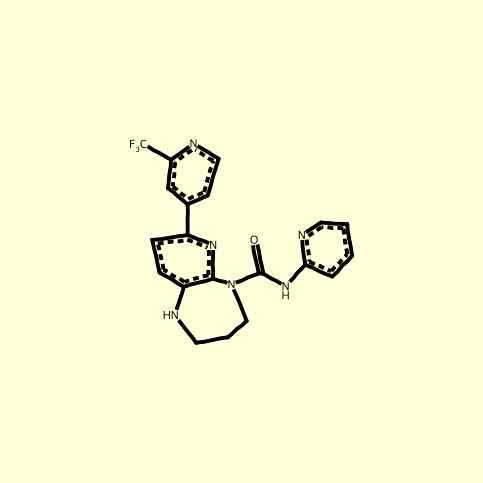 O=C(Nc1ccccn1)N1CCCNc2ccc(-c3ccnc(C(F)(F)F)c3)nc21